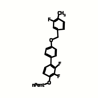 CCCCCOc1ccc(-c2ccc(OCc3ccc(C)c(F)c3)cc2)c(F)c1F